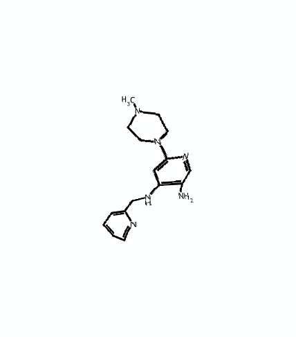 CN1CCN(c2cc(NCc3ccccn3)c(N)cn2)CC1